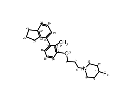 Cc1c(OCCCN2CCC(F)CC2)cccc1-c1cccc2c1CCC2